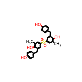 Cc1cc(S(=O)(=O)c2cc(C)c(O)c(Cc3ccc(O)cc3)c2)cc(Cc2ccc(O)cc2)c1O